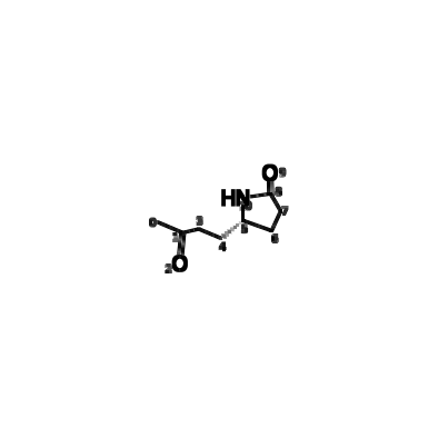 CC(=O)CC[C@H]1CCC(=O)N1